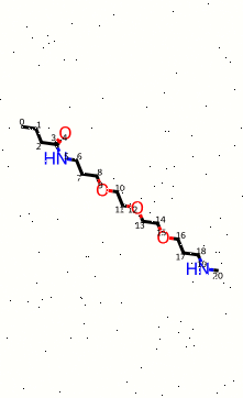 CCCC(=O)NCCCOCCOCCOCCCNC